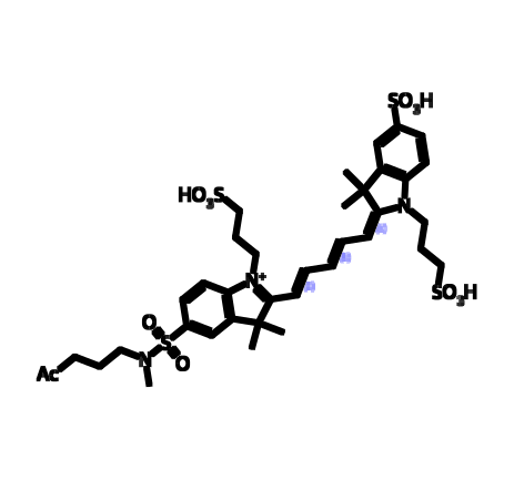 CC(=O)CCCN(C)S(=O)(=O)c1ccc2c(c1)C(C)(C)C(/C=C/C=C/C=C1/N(CCCS(=O)(=O)O)c3ccc(S(=O)(=O)O)cc3C1(C)C)=[N+]2CCCS(=O)(=O)O